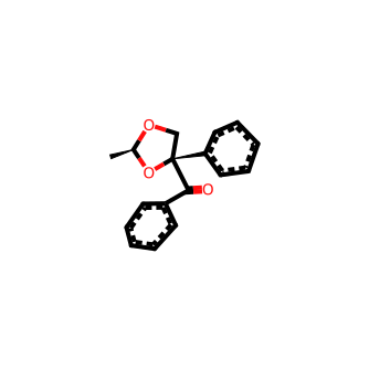 C[C@H]1OC[C@@](C(=O)c2ccccc2)(c2ccccc2)O1